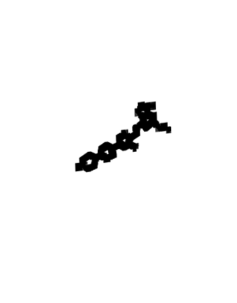 Nc1cc(OCc2ncc(-c3ccc(N4CCNCC4)nc3)cc2F)c2nn[nH]c2n1